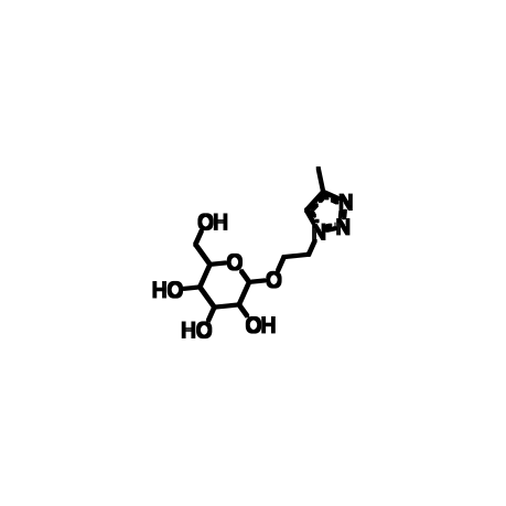 Cc1cn(CCOC2OC(CO)C(O)C(O)C2O)nn1